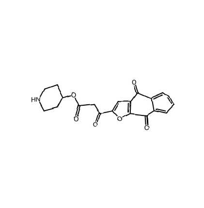 O=C(CC(=O)c1cc2c(o1)C(=O)c1ccccc1C2=O)OC1CCNCC1